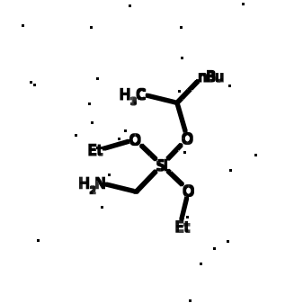 CCCCC(C)O[Si](CN)(OCC)OCC